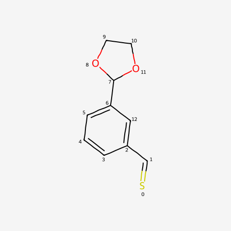 S=Cc1cccc(C2OCCO2)c1